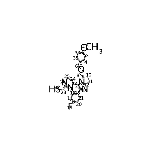 COc1ccc(COCC2CCc3nc(-c4ccc(F)cc4)c(-c4ccnc(CS)n4)n32)cc1